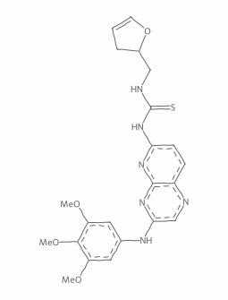 COc1cc(Nc2cnc3ccc(NC(=S)NCC4CC=CO4)nc3n2)cc(OC)c1OC